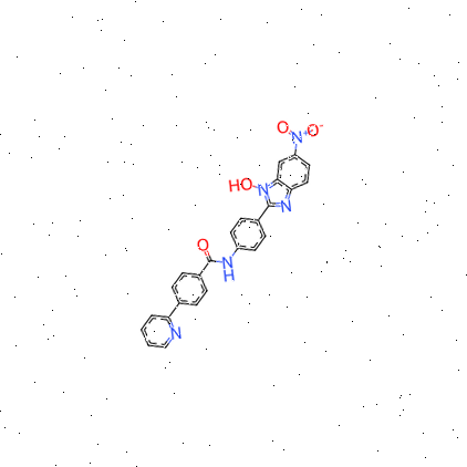 O=C(Nc1ccc(-c2nc3ccc([N+](=O)[O-])cc3n2O)cc1)c1ccc(-c2ccccn2)cc1